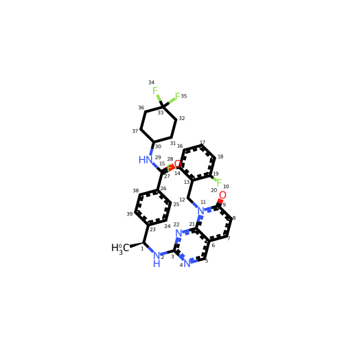 C[C@H](Nc1ncc2ccc(=O)n(Cc3c(F)cccc3F)c2n1)c1ccc(C(=O)NC2CCC(F)(F)CC2)cc1